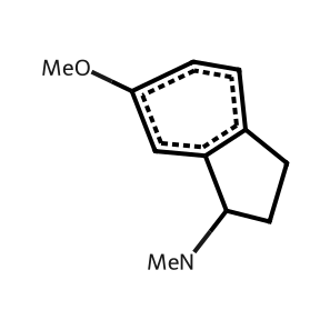 CNC1CCc2ccc(OC)cc21